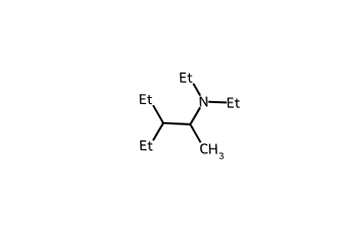 CCC(CC)C(C)N(CC)CC